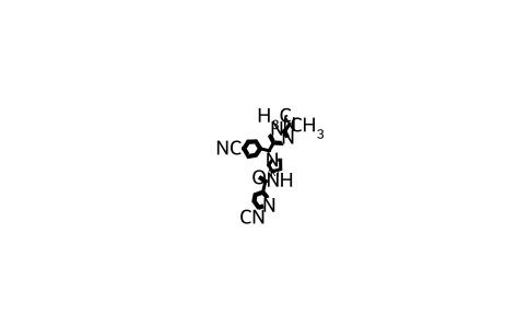 CN(C)c1ncc(C(c2ccc(C#N)cc2)N2CC[C@@H](NC(=O)c3ccc(C#N)nc3)C2)cn1